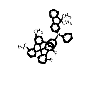 Cc1cc(-c2cccc(N(c3ccccc3)c3ccc4c(c3)C(C)(C)c3ccccc3-4)c2)c2c(c1)-c1c(C)cccc1C21c2cccc(F)c2-c2c(F)cccc21